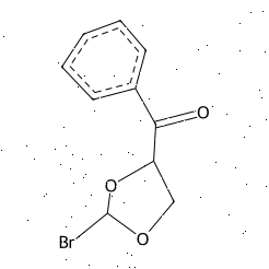 O=C(c1ccccc1)C1COC(Br)O1